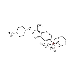 CC(c1ccc2c(C(F)(F)F)c(O[C@H]3CC[C@@H](C(F)(F)F)CC3)ccc2c1)N1C2CCCC1CC(C(=O)O)C2